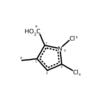 Cc1cc(Cl)n(Cl)c1C(=O)O